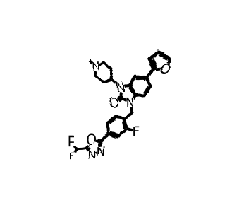 CN1CCC(n2c(=O)n(Cc3ccc(-c4nnc(C(F)F)o4)cc3F)c3ccc(-c4ccco4)cc32)CC1